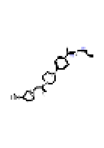 C=C/C=C\N=C(/C)c1ccc(N2CCN(C(=O)CN3CCC(NC)C3)CC2)cc1